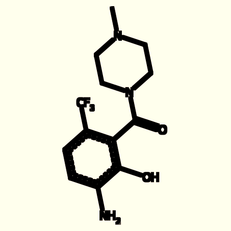 CN1CCN(C(=O)c2c(C(F)(F)F)ccc(N)c2O)CC1